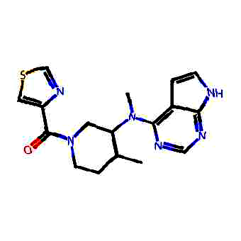 CC1CCN(C(=O)c2cscn2)CC1N(C)c1ncnc2[nH]ccc12